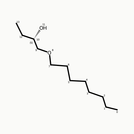 CCCCCCCCOC[C@@H](O)CC